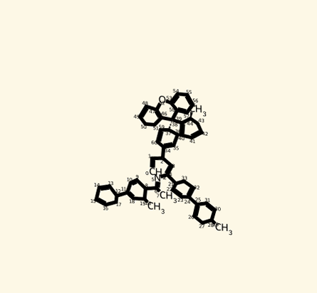 C=CC(/C=C(\N=C(/C)C1C=CC(C2C=CC=CC2)=CC1C)C1C=CC(C2=CCC(C)C=C2)=CC1)C1=CCC([C@]2(C3=CC=CC[C@@H]3C)C3=C(C=CCC3)Oc3ccccc32)C=C1